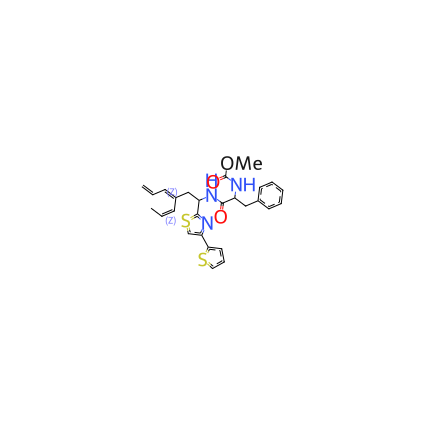 C=C/C=C(\C=C/C)CC(NC(=O)C(Cc1ccccc1)NC(=O)OC)c1nc(-c2cccs2)cs1